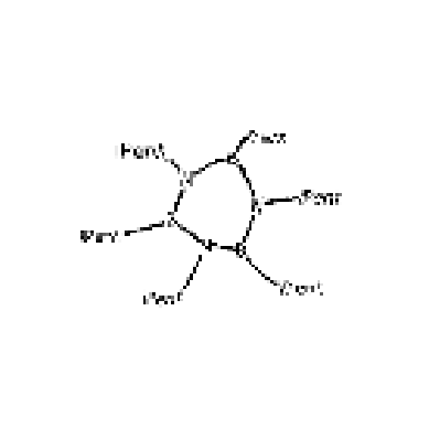 CCCC(C)B1N(C(C)CCC)B(C(C)CCC)N(C(C)CCC)B(C(C)CCC)N1C(C)CCC